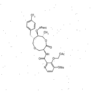 CCCCCO[C@@H]1[C@@H](Cc2ccc(C(F)(F)F)cc2)COC[C@H](NC(=O)c2nccc(OC)c2OCOC(C)=O)C(=O)O[C@H]1C